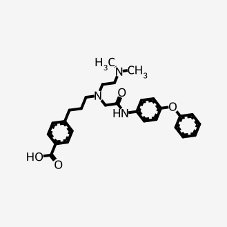 CN(C)CCN(CCCc1ccc(C(=O)O)cc1)CC(=O)Nc1ccc(Oc2ccccc2)cc1